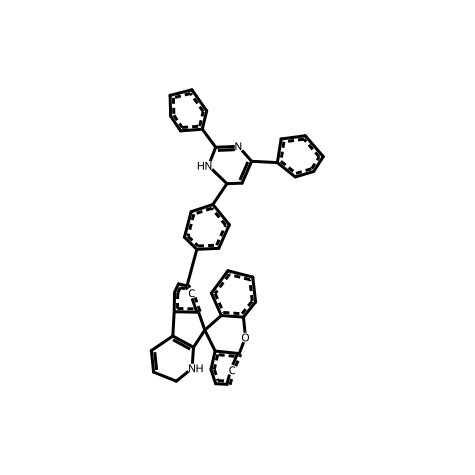 C1=CC2=C(NC1)C1(c3ccccc3Oc3ccccc31)c1cc(-c3ccc(C4C=C(c5ccccc5)N=C(c5ccccc5)N4)cc3)ccc12